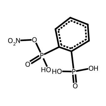 O=[N+]([O-])OP(=O)(O)c1ccccc1P(=O)(O)O